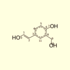 O/C=C/c1ccc(O)c(CO)c1